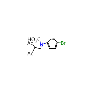 CC(=O)C(CN(C(=O)O)c1ccc(Br)cc1)C(C)=O